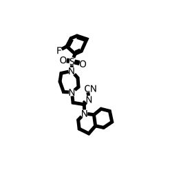 N#CN=C(CN1CCCN(S(=O)(=O)c2ccccc2F)CC1)N1CCCC2CCCCC21